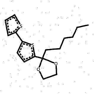 CCCCCCC1(c2ccc(-c3cccs3)s2)OCCO1